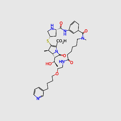 C[C@H]1C(S[C@@H]2CN[C@H](C(=O)NC3=CC(C(=O)N(C)CCCCCC(=O)NCCOCCCCc4cccnc4)CC=C3)C2)=C(C(=O)O)N2C(=O)[C@H]([C@@H](C)O)C12